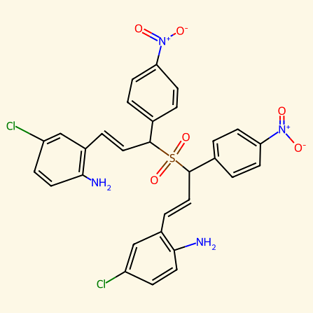 Nc1ccc(Cl)cc1C=CC(c1ccc([N+](=O)[O-])cc1)S(=O)(=O)C(C=Cc1cc(Cl)ccc1N)c1ccc([N+](=O)[O-])cc1